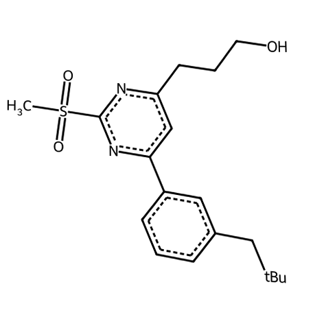 CC(C)(C)Cc1cccc(-c2cc(CCCO)nc(S(C)(=O)=O)n2)c1